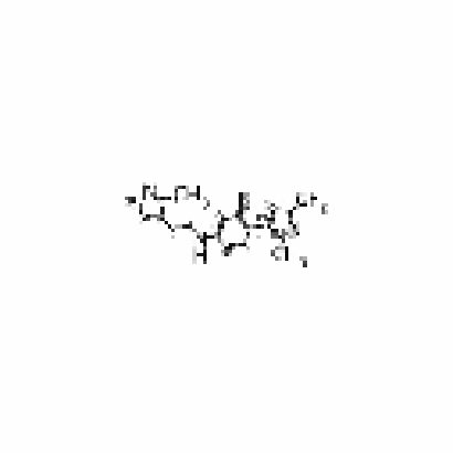 Cc1nscc1CCNc1ccc(-c2cc(C(F)(F)F)nn2C)c(F)c1